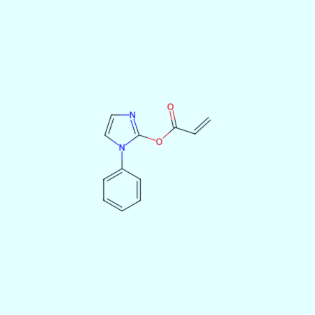 C=CC(=O)Oc1nccn1-c1ccccc1